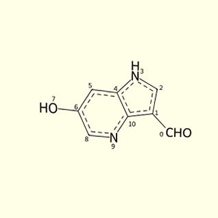 O=Cc1c[nH]c2cc(O)cnc12